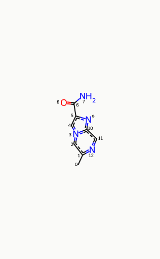 Cc1cn2cc(C(N)=O)nc2cn1